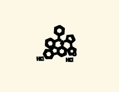 C1=CC(c2ccoc2)=[C]([Zr](=[C](c2ccccc2)c2ccccc2)[c]2cccc3c2Cc2ccccc2-3)C1.Cl.Cl